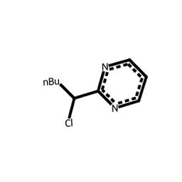 CCCCC(Cl)c1ncccn1